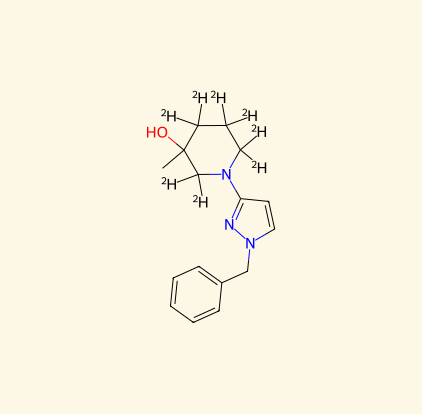 [2H]C1([2H])N(c2ccn(Cc3ccccc3)n2)C([2H])([2H])C(C)(O)C([2H])([2H])C1([2H])[2H]